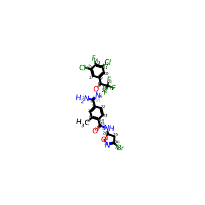 Cc1cc(/C(N)=N/OC(c2cc(Cl)c(F)c(Cl)c2)C(F)(F)F)ccc1C(=O)NC1CC(Br)=NO1